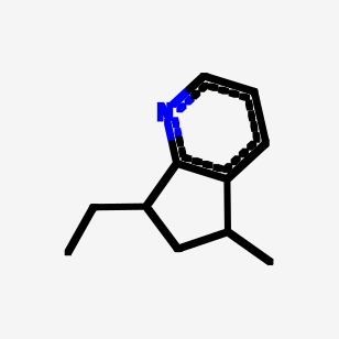 CCC1CC(C)c2cccnc21